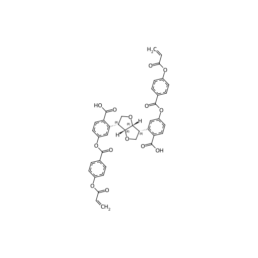 C=CC(=O)Oc1ccc(C(=O)Oc2ccc(C(=O)O)c([C@@H]3CO[C@H]4[C@@H]3OC[C@H]4c3cc(OC(=O)c4ccc(OC(=O)C=C)cc4)ccc3C(=O)O)c2)cc1